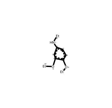 CCNc1ccc(OCC)c(OCC)c1